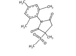 Cc1cc(C)c(N2C(=O)CC(C)(S(C)(=O)=O)C2=O)c(C)c1